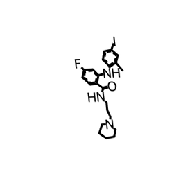 Cc1cc(I)ccc1Nc1cc(F)ccc1C(=O)NCCCN1CCCCC1